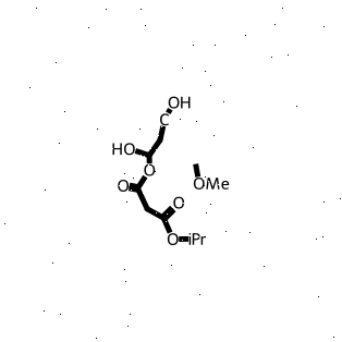 CC(C)OC(=O)CC(=O)OC(O)CCO.COC